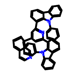 c1ccc(-n2c3ccccc3c3cccc(-c4cc(-c5cccc6ccncc56)cc(-c5cccc6c7ccccc7n(-c7ccccc7)c56)n4)c32)cc1